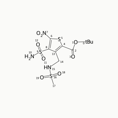 CC(C)(C)OC(=O)c1sc([N+](=O)[O-])c(S(N)(=O)=O)c1CNS(C)(=O)=O